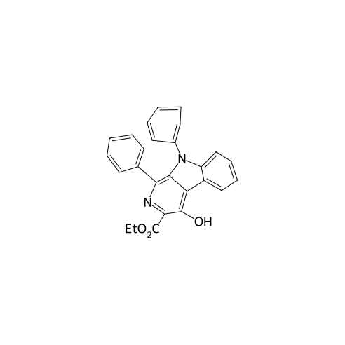 CCOC(=O)c1nc(-c2ccccc2)c2c(c1O)c1ccccc1n2-c1ccccc1